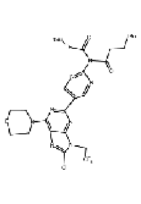 CC(C)(C)CCC(=O)N(C(=O)OC(C)(C)C)c1ncc(-c2nc(N3CCOCC3)c3nc(Cl)n(CC(F)(F)F)c3n2)cn1